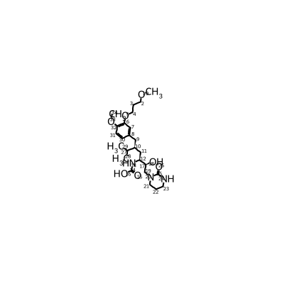 COCCCOc1cc(C[C@@H](C[C@H](NC(=O)O)[C@@H](O)CN2CCCNC2=O)C(C)C)ccc1OC